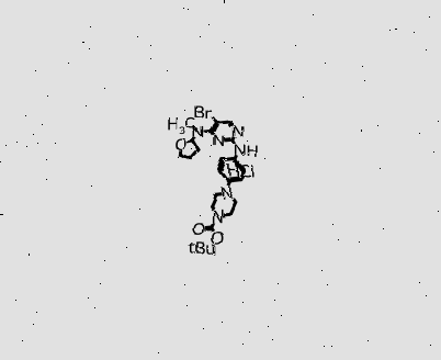 CN(c1nc(Nc2ccc(N3CCN(C(=O)OC(C)(C)C)CC3)cc2)ncc1Br)C1CCCO1.Cl